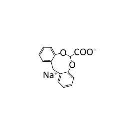 O=C([O-])C1Oc2ccccc2Cc2ccccc2O1.[Na+]